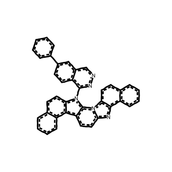 c1ccc(-c2ccc3c(-n4c5ccc6ccccc6c5c5ccc6nc7c8ccccc8ccc7n6c54)nncc3c2)cc1